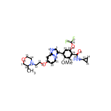 COc1cc(-c2cnc3cc(OCCN4CCOCC4C)ccn23)cc(OC(F)F)c1C(=O)NC1CC1